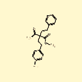 COC(=O)C(CCc1ccccc1)(CCc1ccc(C)cc1)C(C)=O